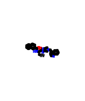 CC(C)C[C@H](NC(=O)c1ccc2ccccc2c1)C(=O)N[C@H]1CCN(Cc2ccnc3ccccc23)C1